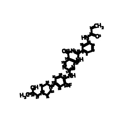 C=CC(=O)Nc1cccc(-c2nc(=O)c3cnc(Nc4ccc(N5CCN(CC(C)O)CC5)cc4F)nc3[nH]2)c1